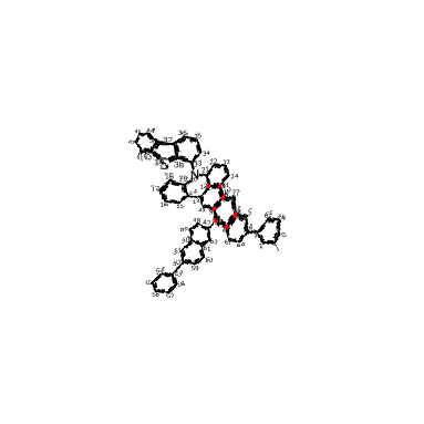 c1ccc(-c2ccc(N(c3cccc(-c4ccccc4N(c4cccc(-c5ccccc5)c4)c4cccc5c4sc4ccccc45)c3)c3ccc4cc(-c5ccccc5)ccc4c3)cc2)cc1